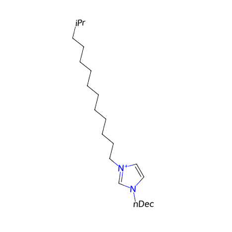 CCCCCCCCCCn1cc[n+](CCCCCCCCCCCC(C)C)c1